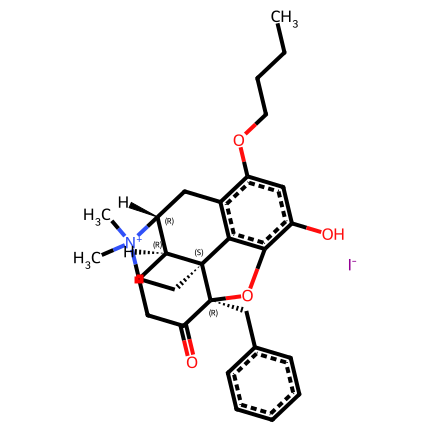 CCCCOc1cc(O)c2c3c1C[C@@H]1[C@@H]4CCC(=O)[C@](Cc5ccccc5)(O2)[C@]34CC[N+]1(C)C.[I-]